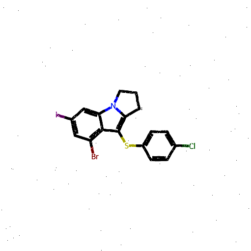 Clc1ccc(Sc2c3n(c4cc(I)cc(Br)c24)CC[C]3)cc1